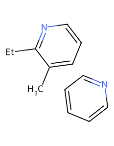 CCc1ncccc1C.c1ccncc1